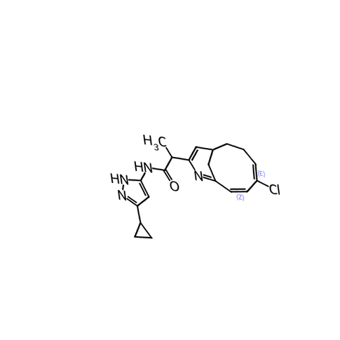 CC(C(=O)Nc1cc(C2CC2)n[nH]1)C1=CC2CC/C=C(Cl)\C=C/C(=N1)C2